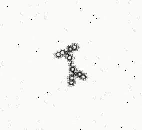 C1=CC2=CC=C(N(c3ccc(/C=C/c4ccc(N(C5=CC=C6C=CC=CC6C5)c5ccc6c(c5)CCC=C6)cc4)cc3)c3ccc4c(c3)C=CCC4)CC2C=C1